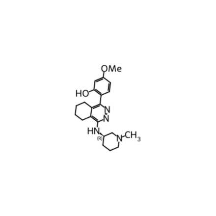 COc1ccc(-c2nnc(N[C@@H]3CCCN(C)C3)c3c2CCCC3)c(O)c1